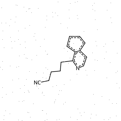 N#CCCCCc1nccc2ccccc12